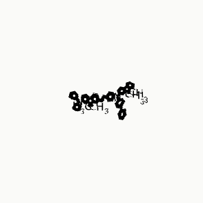 CC1(C)c2ccccc2-c2ccc(N(c3ccc(/C=C/c4ccc5c(c4)C(C)(C)c4cc(N(c6ccccc6)c6ccccc6)ccc4-5)cc3)c3ccc(-c4ccccc4)cc3)cc21